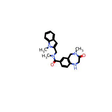 CN1Cc2cc(C(=O)N(C)Cc3cc4ccccc4n3C)ccc2NCC1=O